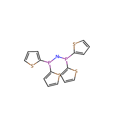 c1csc(P([N]P(c2cccs2)c2cccs2)c2cccs2)c1